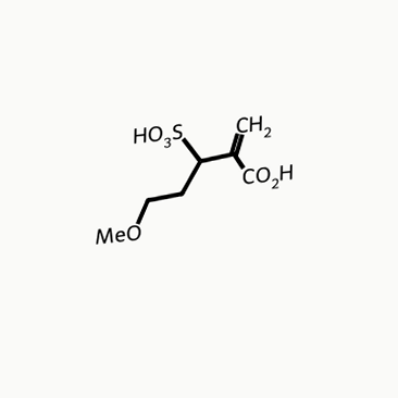 C=C(C(=O)O)C(CCOC)S(=O)(=O)O